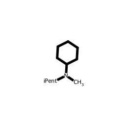 CCCC(C)N(C)C1CCCCC1